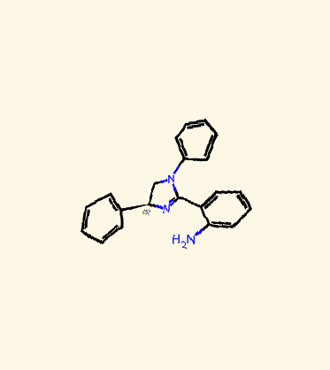 Nc1ccccc1C1=N[C@@H](c2ccccc2)CN1c1ccccc1